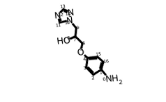 Nc1ccc(OCC(O)Cn2cncn2)cc1